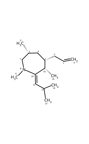 C=CC[C@H]1C[C@@H](C)CN(C)/C(=C/C(C)C)[C@H]1C